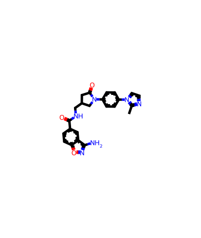 Cc1nccn1-c1ccc(N2CC(CNC(=O)c3ccc4onc(N)c4c3)CC2=O)cc1